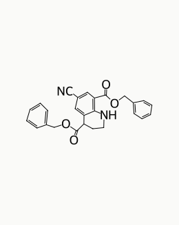 N#Cc1cc(C(=O)OCc2ccccc2)c2c(c1)C(C(=O)OCc1ccccc1)CCN2